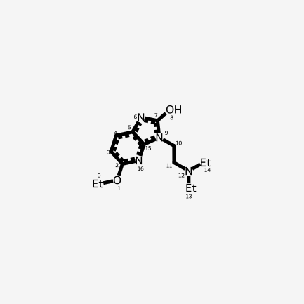 CCOc1ccc2nc(O)n(CCN(CC)CC)c2n1